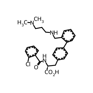 CN(C)CCCNCc1ccccc1-c1ccc(C[C@H](NC(=O)c2ccccc2Cl)C(=O)O)cc1